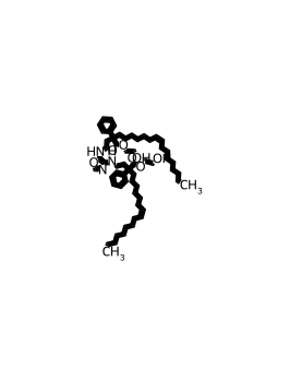 CCCCCCCC/C=C\CCCCCCC(CCNc1ncoc1NCCC(CCCCCC/C=C\CCCCCCCC)(C(=O)OCCO)c1ccccc1)(C(=O)OCCO)c1ccccc1